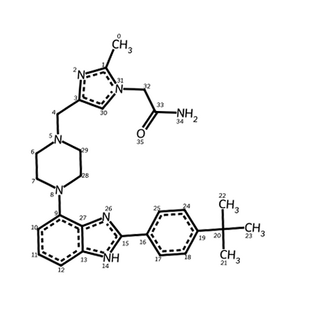 Cc1nc(CN2CCN(c3cccc4[nH]c(-c5ccc(C(C)(C)C)cc5)nc34)CC2)cn1CC(N)=O